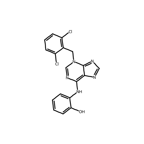 Oc1ccccc1Nc1ncn(Cc2c(Cl)cccc2Cl)c2ncnc1-2